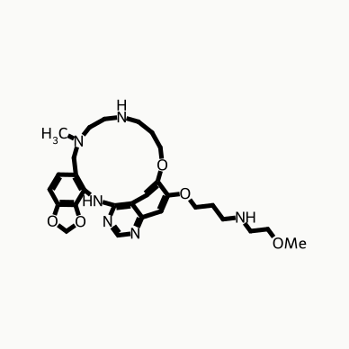 COCCNCCCOc1cc2ncnc3c2cc1OCCCNCCN(C)Cc1ccc2c(c1N3)OCO2